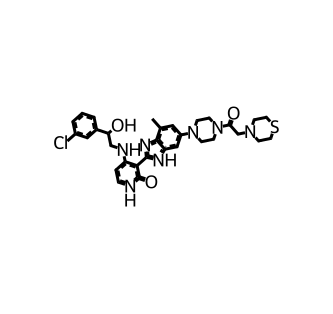 Cc1cc(N2CCN(C(=O)CN3CCSCC3)CC2)cc2[nH]c(-c3c(NCC(O)c4cccc(Cl)c4)cc[nH]c3=O)nc12